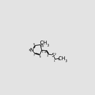 CCS/C=C/C1C=CN=CC1C